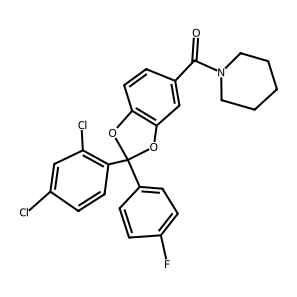 O=C(c1ccc2c(c1)OC(c1ccc(F)cc1)(c1ccc(Cl)cc1Cl)O2)N1CCCCC1